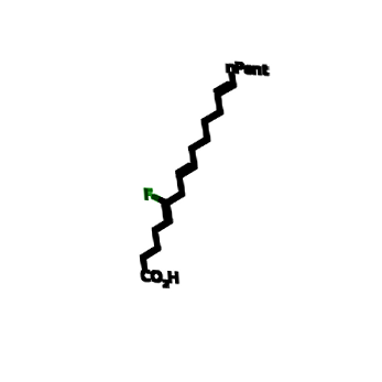 CCCCCC=CCCCCC=CCC(F)=CCCCC(=O)O